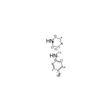 Fc1ccc(NC[C@H]2CCCNC2)cc1